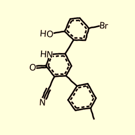 Cc1ccc(-c2cc(-c3cc(Br)ccc3O)[nH]c(=O)c2C#N)cc1